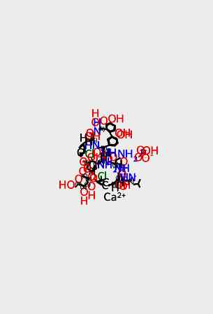 CN[C@H](CC(C)C)C(=O)N[C@H]1C(=O)N[C@@H](CC(N)=O)C(=O)N[C@H]2C(=O)N[C@H]3C(=O)N[C@H](C(=O)N[C@@H](C(=O)O)c4cc(O)cc(O)c4-c4cc3ccc4O)[C@H](O)c3ccc(c(Cl)c3)Oc3cc2cc(c3O[C@@H]2O[C@H](CO)[C@@H](O)[C@H](O)[C@H]2O[C@H]2C[C@](C)(N)C(O)[C@H](C)O2)Oc2ccc(cc2Cl)[C@H]1O.O=P([O-])([O-])O.[Ca+2]